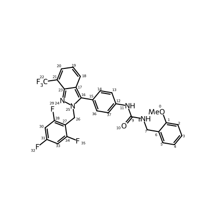 COc1ccccc1CNC(=O)Nc1ccc(-c2c3cccc(C(F)(F)F)c3nn2Cc2c(F)cc(F)cc2F)cc1